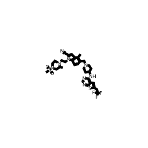 Cc1c(CN2CCC(Nc3ncnc4sc(CC(F)(F)F)cc34)CC2)ccc2c1cc(C#N)n2CCN1CCN(S(C)(=O)=O)CC1C